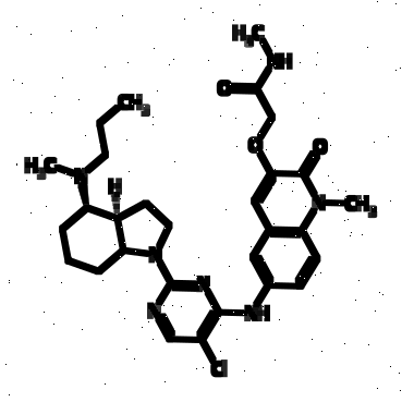 CCCN(C)[C@@H]1CCCC2[C@@H]1CCN2c1ncc(Cl)c(Nc2ccc3c(c2)cc(OCC(=O)NC)c(=O)n3C)n1